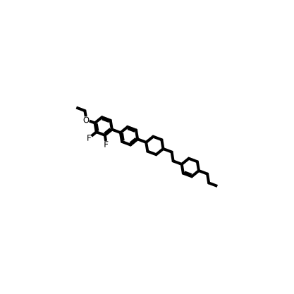 CCCC1C=CC(CCC2CCC(c3ccc(-c4ccc(OCC)c(F)c4F)cc3)CC2)CC1